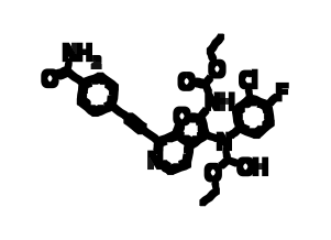 CCOC(=O)Nc1oc2c(C#Cc3ccc(C(N)=O)cc3)nccc2c1N(c1ccc(F)c(Cl)c1)C(O)OCC